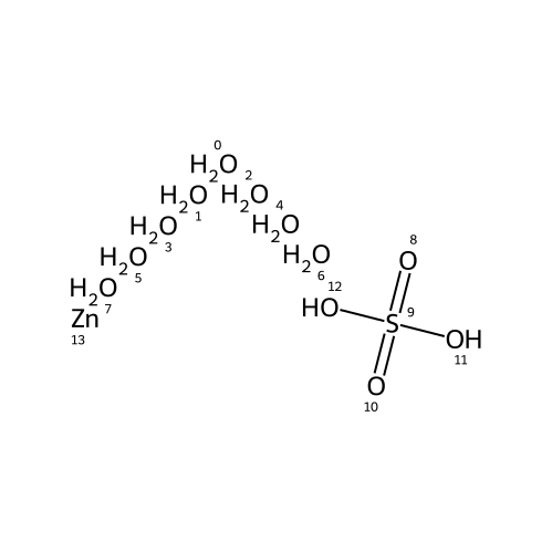 O.O.O.O.O.O.O.O.O=S(=O)(O)O.[Zn]